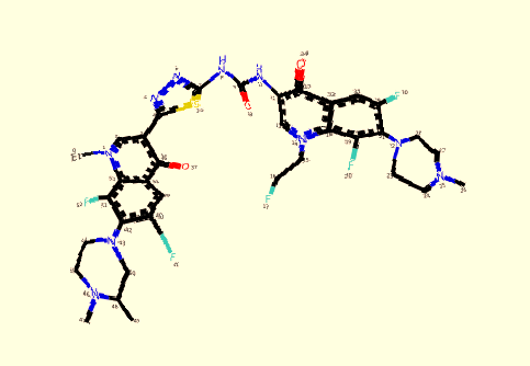 CCn1cc(-c2nnc(NC(=O)Nc3cn(CCF)c4c(F)c(N5CCN(C)CC5)c(F)cc4c3=O)s2)c(=O)c2cc(F)c(N3CCN(C)C(C)C3)c(F)c21